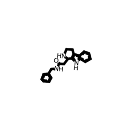 O=C(CC1NCCc2c1[nH]c1ccccc21)NCc1ccccc1